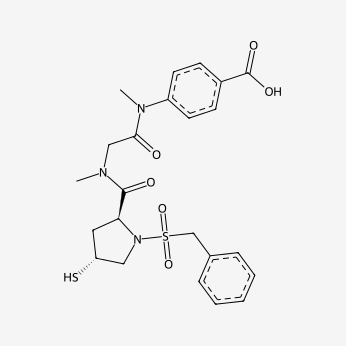 CN(CC(=O)N(C)c1ccc(C(=O)O)cc1)C(=O)[C@@H]1C[C@@H](S)CN1S(=O)(=O)Cc1ccccc1